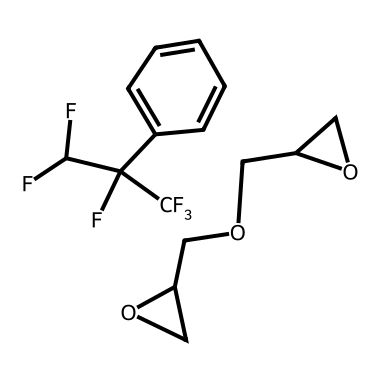 C(OCC1CO1)C1CO1.FC(F)C(F)(c1ccccc1)C(F)(F)F